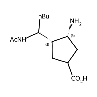 CCCCC(NC(C)=O)[C@H]1CC(C(=O)O)C[C@H]1N